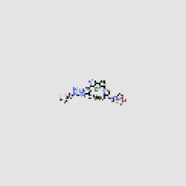 COc1nc(-c2cccc(-c3ccnc(-c4cc(OC)c5nc(CNC6CC(C)(O)C6)nn5c4)c3Cl)c2Cl)ccc1CN(CC1CCC(=O)N1)C(=O)O